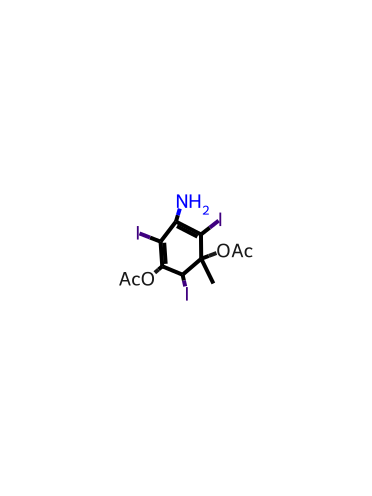 CC(=O)OC1=C(I)C(N)=C(I)C(C)(OC(C)=O)C1I